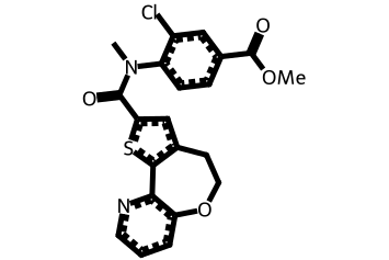 COC(=O)c1ccc(N(C)C(=O)c2cc3c(s2)-c2ncccc2OCC3)c(Cl)c1